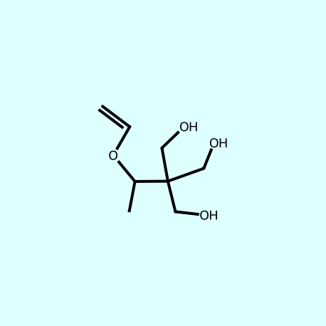 C=COC(C)C(CO)(CO)CO